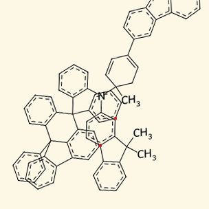 CC1(C)c2ccccc2-c2ccc(N(c3ccccc3C3(c4ccccc4)c4ccccc4C4(c5ccccc5)c5ccccc5-c5cccc3c54)C3(C)C=CC(c4ccc5sc6ccccc6c5c4)=CC3)cc21